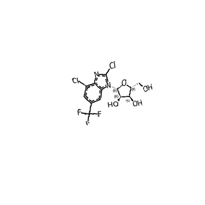 OC[C@H]1O[C@@H](n2c(Cl)nc3c(Cl)cc(C(F)(F)F)cc32)[C@H](O)[C@@H]1O